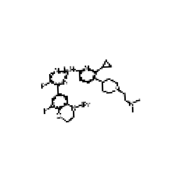 CC(C)N1CCOc2c(F)cc(-c3nc(Nc4ccc(C5CCN(CCN(C)C)CC5)c(C5CC5)n4)ncc3F)cc21